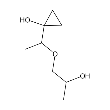 CC(O)COC(C)C1(O)CC1